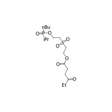 CCCCP(=O)(OCCS(=O)(=O)CCOC(=O)CCC(=O)CC)C(C)C